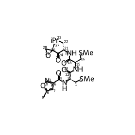 CSC[C@@H](NC(=O)c1cc(C)on1)C(=O)N[C@H](CSC)C(=O)N[C@@H](CC(C)C)C(=O)[C@@]1(C)CO1